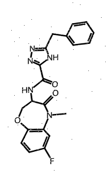 CN1C(=O)C(NC(=O)c2nnc(Cc3ccccc3)[nH]2)COc2ccc(F)cc21